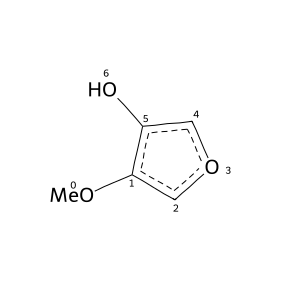 COc1cocc1O